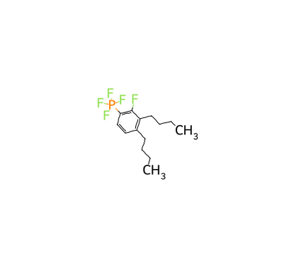 CCCCc1ccc(P(F)(F)(F)F)c(F)c1CCCC